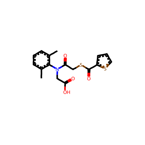 Cc1cccc(C)c1N(CC(=O)O)C(=O)CSC(=O)c1cccs1